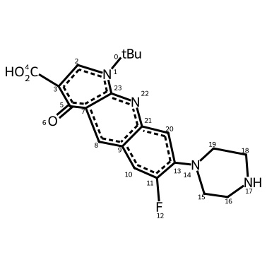 CC(C)(C)n1cc(C(=O)O)c(=O)c2cc3cc(F)c(N4CCNCC4)cc3nc21